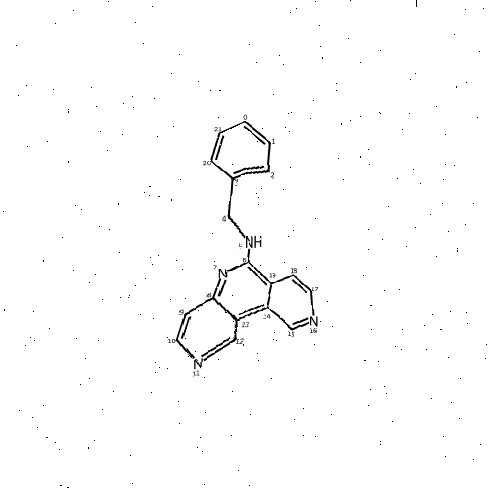 c1ccc(CNc2nc3ccncc3c3cnccc23)cc1